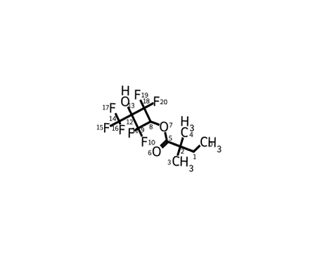 CCC(C)(C)C(=O)OC1C(F)(F)C(O)(C(F)(F)F)C1(F)F